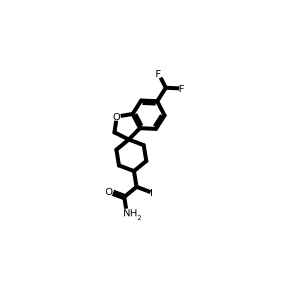 NC(=O)C(I)C1CCC2(CC1)COc1cc(C(F)F)ccc12